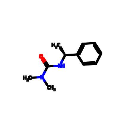 C[C@H](NC(=O)N(C)C)c1ccccc1